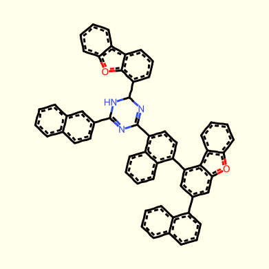 c1ccc2cc(C3=NC(c4ccc(-c5cc(-c6cccc7ccccc67)cc6oc7ccccc7c56)c5ccccc45)=NC(c4cccc5c4oc4ccccc45)N3)ccc2c1